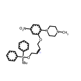 CN1CCN(c2ccc([N+](=O)[O-])cc2OC/C=C\CO[Si](c2ccccc2)(c2ccccc2)C(C)(C)C)CC1